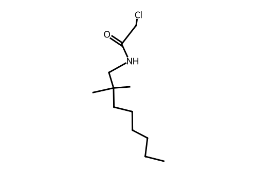 CCCCCCC(C)(C)CNC(=O)CCl